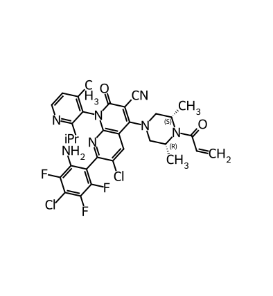 C=CC(=O)N1[C@H](C)CN(c2c(C#N)c(=O)n(-c3c(C)ccnc3C(C)C)c3nc(-c4c(N)c(F)c(Cl)c(F)c4F)c(Cl)cc23)C[C@@H]1C